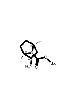 CC(C)(C)OC(=O)N1[C@H]2CC[C@@H]1[C@H](N)C2